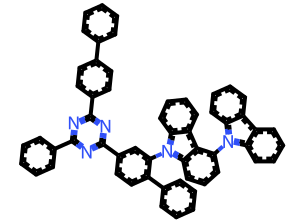 c1ccc(-c2ccc(-c3nc(-c4ccccc4)nc(-c4ccc(-c5ccccc5)c(-n5c6ccccc6c6c(-n7c8ccccc8c8ccccc87)cccc65)c4)n3)cc2)cc1